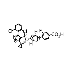 O=C(O)c1ccc(N2C[C@@H]3C[C@H]2C[C@H]3OC(=O)c2c(-c3c(Cl)cccc3Cl)noc2C2(F)CC2)c(F)c1